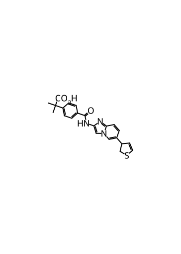 CC(C)(C(=O)O)c1ccc(C(=O)Nc2cn3cc(C4C=CSC4)ccc3n2)cc1